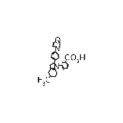 O=C(O)c1cccc(N2C3=C(CC2c2ccc(N4CCOCC4)cc2)CC(C(F)(F)F)CC3)c1